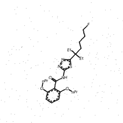 CCCOc1cccc(OCCC)c1C(=O)Nc1nnc(C(CC)(CC)CCCCF)s1